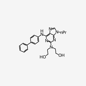 CCCn1cnc2c(Nc3ccc(-c4ccccc4)cc3)nc(N(CCO)CCO)nc21